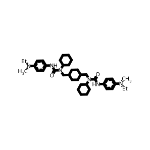 CCN(C)c1ccc(NC(=O)N(CC2CCC(CN(C(=O)Nc3ccc(N(C)CC)cc3)C3CCCCC3)CC2)C2CCCCC2)cc1